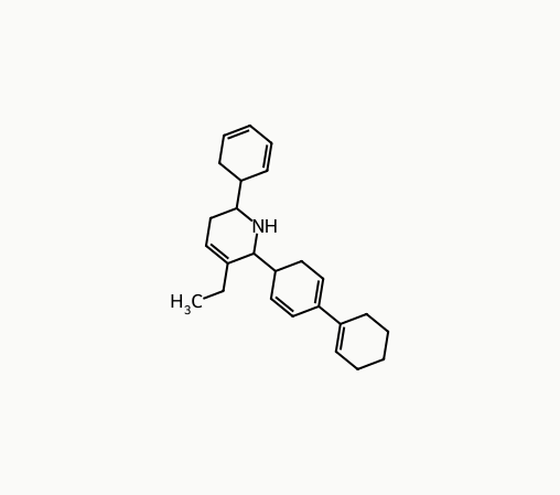 CCC1=CCC(C2C=CC=CC2)NC1C1C=CC(C2=CCCCC2)=CC1